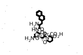 CC(C)[C@]1(C(=O)O)C(=O)CCC(=O)N1C(=O)[C@H](C)NC(=O)[C@H](CC(N)=O)NC(=O)[C@@H](N)Cc1ccc2ccccc2c1